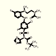 CN(CCN(C)c1cc(F)ccc1Nc1cc(F)c(S(=O)(=O)N(C(=O)OC(C)(C)C)c2cscn2)cc1Cl)C(=O)O